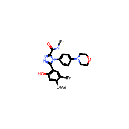 COc1cc(O)c(-c2nnc(C(=O)NC(C)C)n2-c2ccc(N3CCOCC3)cc2)cc1C(C)C